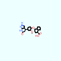 COc1cc(C2CC(=O)Nc3n[nH]cc32)ccc1Oc1ccc(C(=O)O)c2ccccc12